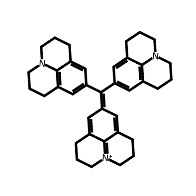 c1c(C(c2cc3c4c(c2)CCCN4CCC3)=c2cc3c4c(c2)CCC[N+]=4CCC3)cc2c3c1CCCN3CCC2